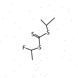 CC(C)SC(=S)SC(C)F